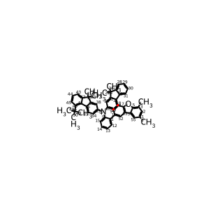 Cc1cc(C)c2oc3ccc(-c4ccccc4N(c4ccc5c(c4)C(C)(C)c4ccccc4-5)c4ccc5c(c4)C(C)(C)c4cccc(C(C)(C)C)c4-5)cc3c2c1